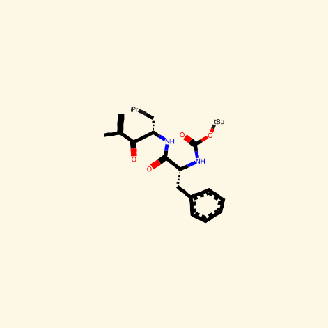 C=C(C)C(=O)[C@H](CC(C)C)NC(=O)[C@@H](Cc1ccccc1)NC(=O)OC(C)(C)C